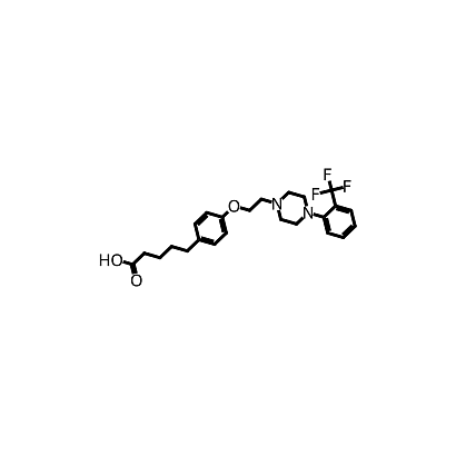 O=C(O)CCCCc1ccc(OCCN2CCN(c3ccccc3C(F)(F)F)CC2)cc1